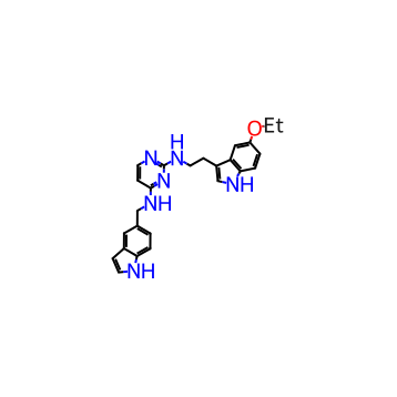 CCOc1ccc2[nH]cc(CCNc3nccc(NCc4ccc5[nH]ccc5c4)n3)c2c1